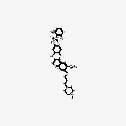 COc1cc2c(Oc3ccc(NS(=O)(=O)c4c(Cl)cccc4Cl)cc3F)ccnc2cc1OCCCN1CCN(C)CC1